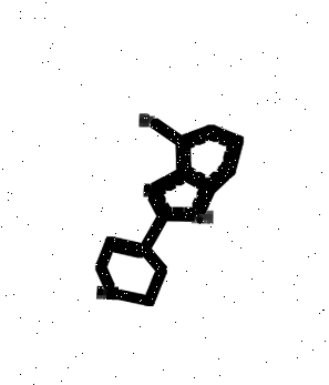 Brc1cccc2[nH]c(C3=CCNCC3)nc12